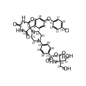 O=C1NC(=O)C(c2ccc(Oc3ccc(Cl)cc3)cc2)(N2CCN(c3ccc(S(=O)(=O)NC(CO)(CO)CO)cc3)CC2)C(=O)N1